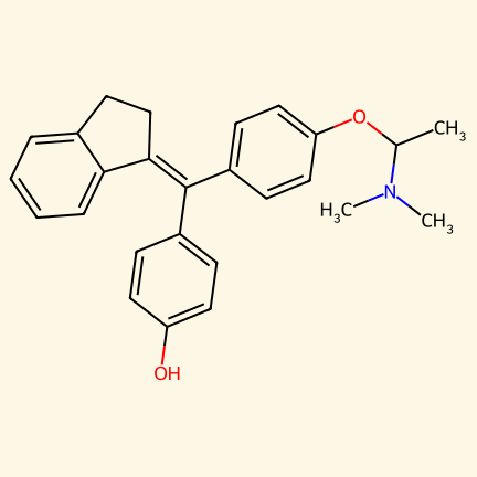 CC(Oc1ccc(/C(=C2\CCc3ccccc32)c2ccc(O)cc2)cc1)N(C)C